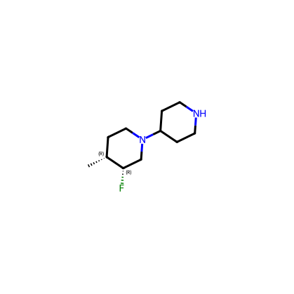 C[C@@H]1CCN(C2CCNCC2)C[C@@H]1F